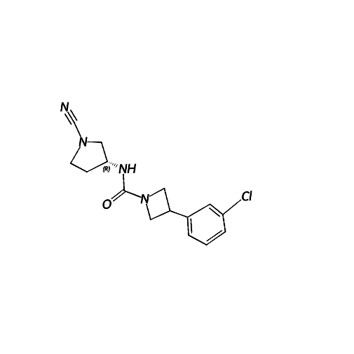 N#CN1CC[C@@H](NC(=O)N2CC(c3cccc(Cl)c3)C2)C1